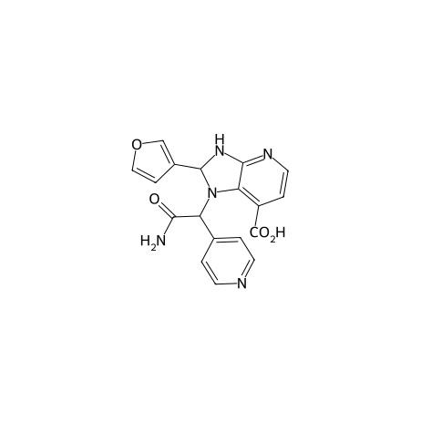 NC(=O)C(c1ccncc1)N1c2c(C(=O)O)ccnc2NC1c1ccoc1